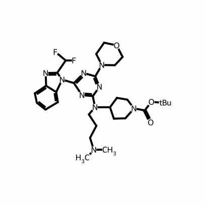 CN(C)CCCN(c1nc(N2CCOCC2)nc(-n2c(C(F)F)nc3ccccc32)n1)C1CCN(C(=O)OC(C)(C)C)CC1